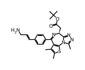 Cc1sc2c(c1C)C(c1ccc(C=CCN)cc1)=N[C@@H](CC(=O)OC(C)(C)C)c1nnc(C)n1-2